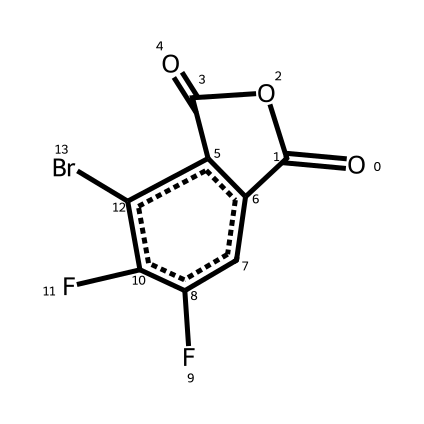 O=C1OC(=O)c2c1cc(F)c(F)c2Br